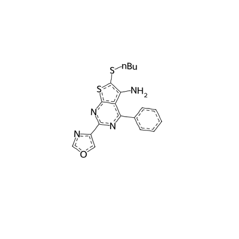 CCCCSc1sc2nc(-c3cocn3)nc(-c3ccccc3)c2c1N